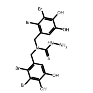 NNC(=S)N(Cc1cc(O)c(O)c(Br)c1Br)Cc1cc(O)c(O)c(Br)c1Br